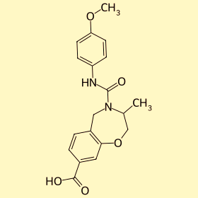 COc1ccc(NC(=O)N2Cc3ccc(C(=O)O)cc3OCC2C)cc1